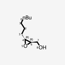 CCCCCCC[C@H]1O[C@@H]1CO